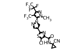 Cn1nc(C(F)(F)C(F)(F)F)c(C(F)(F)F)c1-n1cc(-c2nc(C(=O)NC3(C#N)CC3)c(Cl)s2)cn1